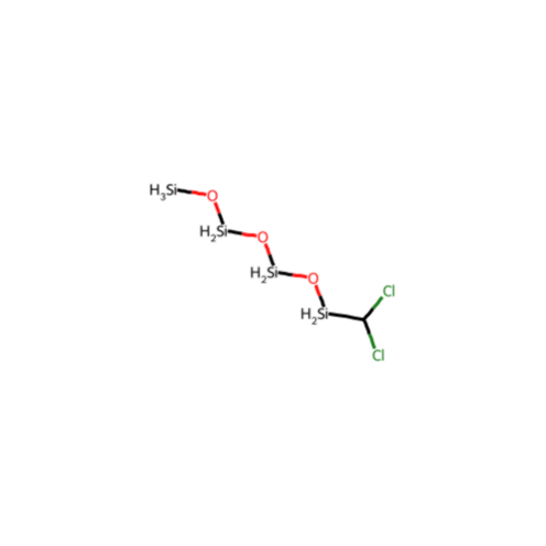 [SiH3]O[SiH2]O[SiH2]O[SiH2]C(Cl)Cl